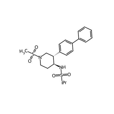 CC(C)S(=O)(=O)N[C@H]1CCN(S(C)(=O)=O)C[C@@H]1c1ccc(-c2ccccc2)cc1